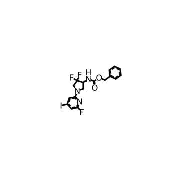 O=C(NC1CN(c2cc(I)cc(F)n2)CC1(F)F)OCc1ccccc1